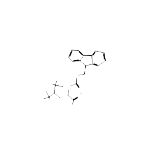 O=C(N[C@@H](CC(C(F)(F)F)C(F)(F)F)C(=O)O)OCC1c2ccccc2-c2ccccc21